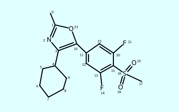 Cc1nc(C2CCCCC2)c(-c2cc(F)c(S(C)(=O)=O)c(F)c2)o1